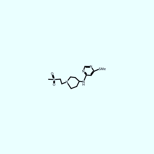 CSc1cc(NC2CCN(CCS(C)(=O)=O)CC2)ncn1